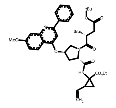 C=CC1CC1(NC(=O)[C@@H]1C[C@@H](Oc2cc(-c3ccccc3)nc3cc(OC)ccc23)CN1C(=O)[C@@H](CC(=O)OC(C)(C)C)C(C)(C)C)C(=O)OCC